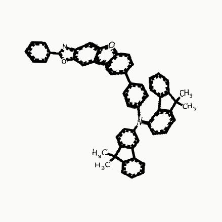 CC1(C)c2ccccc2-c2cc(N(c3ccc(-c4ccc5oc6cc7nc(-c8ccccc8)oc7cc6c5c4)cc3)c3cccc4c3-c3ccccc3C4(C)C)ccc21